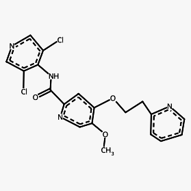 COc1cnc(C(=O)Nc2c(Cl)cncc2Cl)cc1OCCc1ccccn1